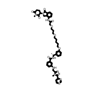 C[C@@H](NC(=O)c1cccc(NCc2nnc(-c3ccncn3)n2C)c1)c1cccc(OCCCCCOCCCOCC(=O)Nc2cccc3c2CN(C2CCC(=O)N(C)C2=O)C3=O)c1